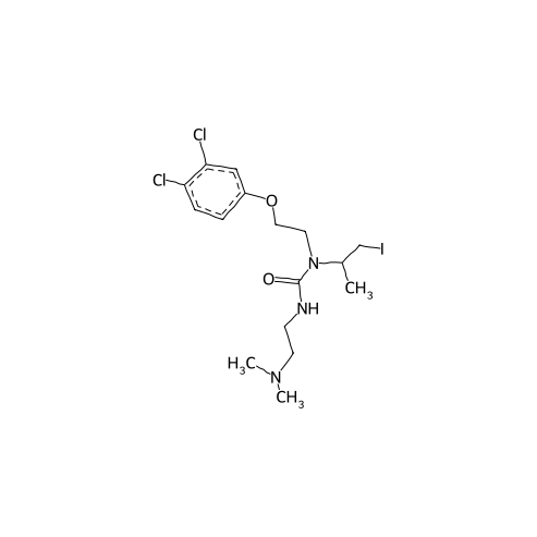 CC(CI)N(CCOc1ccc(Cl)c(Cl)c1)C(=O)NCCN(C)C